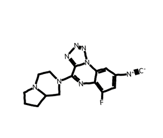 [C-]#[N+]c1cc(F)c2nc(N3CCN4CCCC4C3)c3nnnn3c2c1